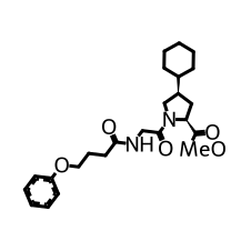 COC(=O)[C@@H]1C[C@H](C2CCCCC2)CN1C(=O)CNC(=O)CCCOc1ccccc1